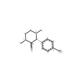 CN1CCN(C)[C@H](c2ccc(N)cc2)C1=O